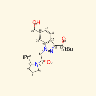 CC(C)C1CCCN1C(=O)Cn1nc(C(=O)C(C)(C)C)c2ccc(CO)cc21